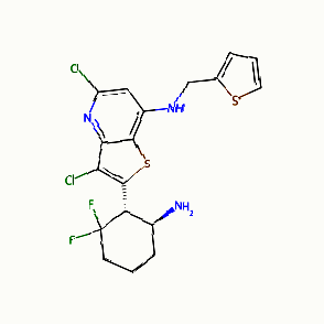 N[C@H]1CCCC(F)(F)[C@@H]1c1sc2c(NCc3cccs3)cc(Cl)nc2c1Cl